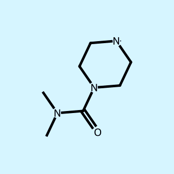 CN(C)C(=O)N1CC[N]CC1